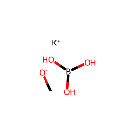 C[O-].OB(O)O.[K+]